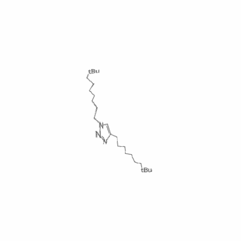 CC(C)(C)CCCCCCCc1cn(CCCCCCCC(C)(C)C)nn1